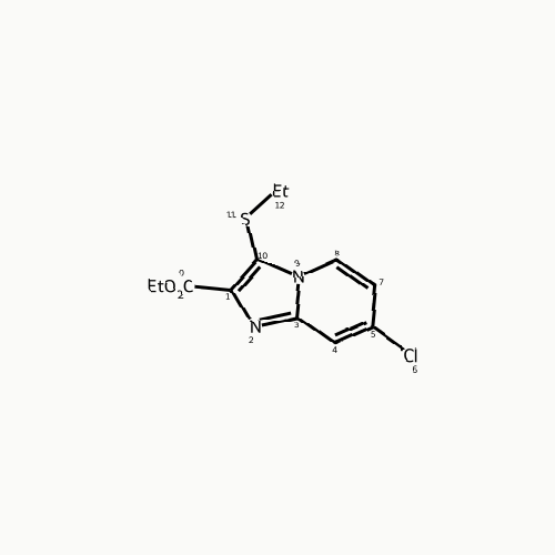 CCOC(=O)c1nc2cc(Cl)ccn2c1SCC